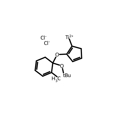 CC1=CC=CCC1(OC1=[C]([Ti+2])CC=C1)OC(C)(C)C.[Cl-].[Cl-]